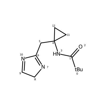 CC(C)(C)C(=O)NC1(CC2=NCC=N2)CC1